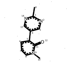 Cc1ncc(-c2cccn(C)c2=O)cn1